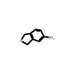 O=[N+]([O-])c1ccc2c(c1)COC2